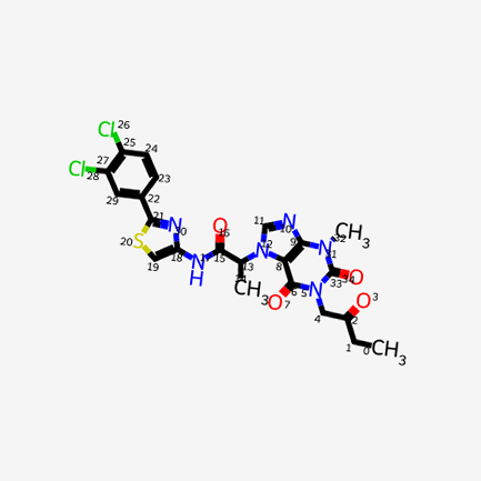 CCC(=O)Cn1c(=O)c2c(ncn2C(C)C(=O)Nc2csc(-c3ccc(Cl)c(Cl)c3)n2)n(C)c1=O